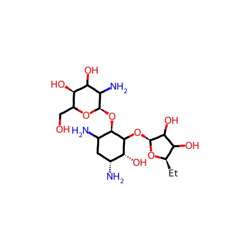 CC[C@H]1O[C@@H](OC2[C@H](O[C@H]3OC(CO)[C@@H](O)C(O)C3N)C(N)C[C@@H](N)[C@H]2O)C(O)C1O